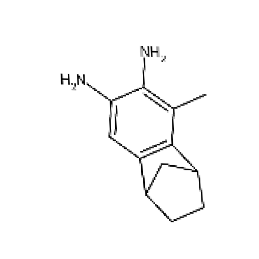 Cc1c(N)c(N)cc2c1C1CCC2C1